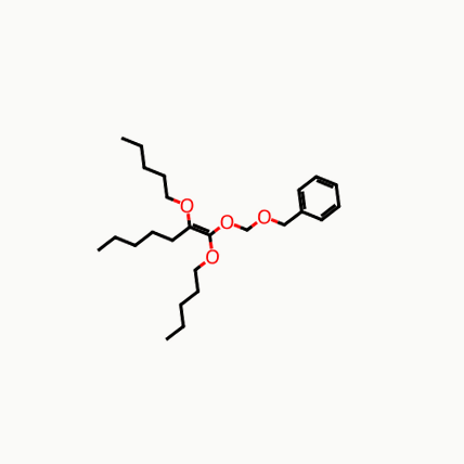 CCCCCOC(CCCCC)=C(OCCCCC)OCOCc1ccccc1